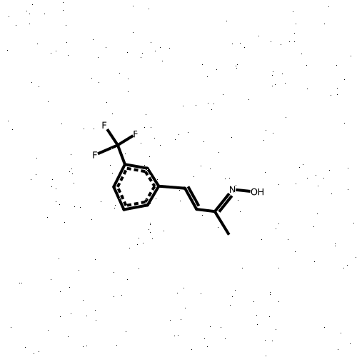 CC(C=Cc1cccc(C(F)(F)F)c1)=NO